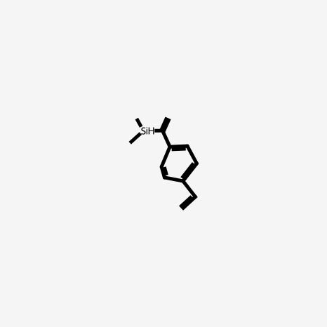 C=Cc1ccc(C(=C)[SiH](C)C)cc1